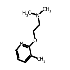 Cc1cccnc1OCCN(C)C